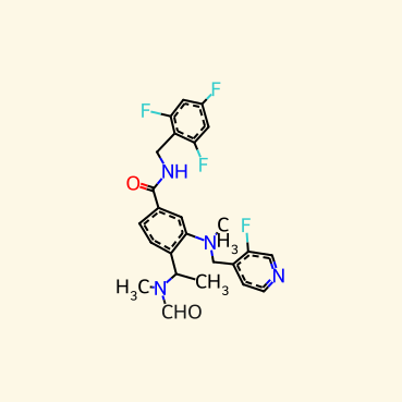 CC(c1ccc(C(=O)NCc2c(F)cc(F)cc2F)cc1N(C)Cc1ccncc1F)N(C)C=O